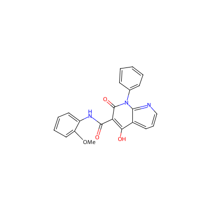 COc1ccccc1NC(=O)c1c(O)c2cccnc2n(-c2ccccc2)c1=O